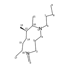 C=NCCCN(CCCC)C(C)[C@H](C)CCCC